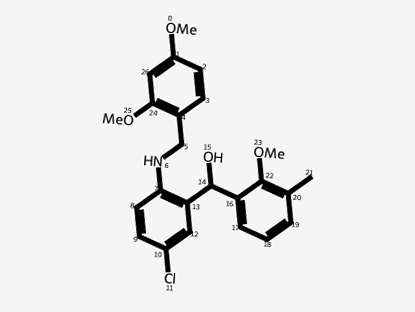 COc1ccc(CNc2ccc(Cl)cc2C(O)c2cccc(C)c2OC)c(OC)c1